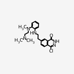 CN(C)CCN(C)c1ccccc1NCCc1ccc2c(Cl)n[nH]c(=O)c2c1